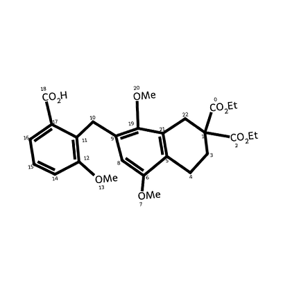 CCOC(=O)C1(C(=O)OCC)CCc2c(OC)cc(Cc3c(OC)cccc3C(=O)O)c(OC)c2C1